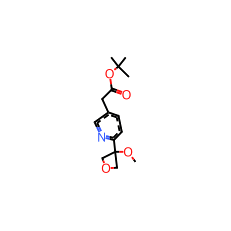 COC1(c2ccc(CC(=O)OC(C)(C)C)cn2)COC1